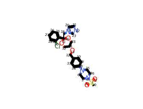 CS(=O)(=O)N1CCN(c2ccc(CO[C@H]3CO[C@@](Cn4ccnc4)(c4ccccc4Cl)OC3)cc2)CC1